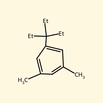 CCC(CC)(CC)c1cc(C)cc(C)c1